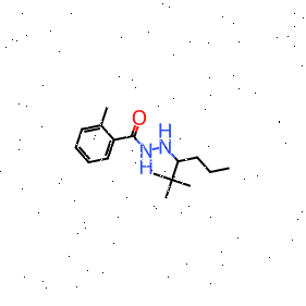 CCCC(NNC(=O)c1ccccc1C)C(C)(C)C